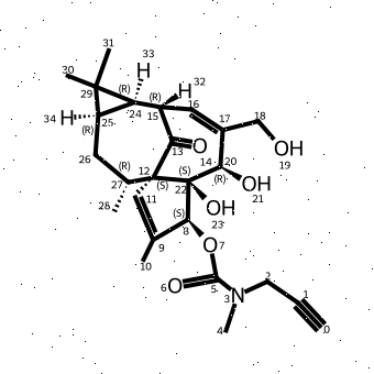 C#CCN(C)C(=O)O[C@H]1C(C)=C[C@]23C(=O)[C@@H](C=C(CO)[C@@H](O)[C@]12O)[C@H]1[C@@H](C[C@H]3C)C1(C)C